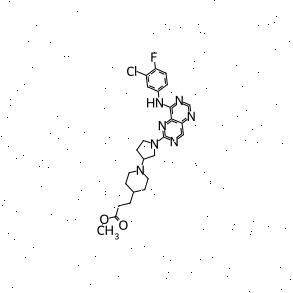 COC(=O)CCC1CCN(C2CCN(c3ncc4ncnc(Nc5ccc(F)c(Cl)c5)c4n3)C2)CC1